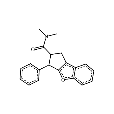 CN(C)C(=O)C1Cc2c(oc3ccccc23)C1c1ccccc1